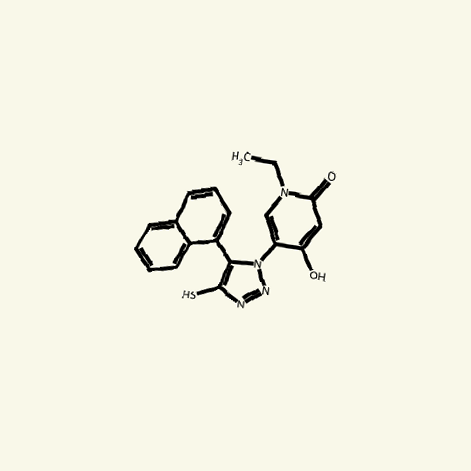 CCn1cc(-n2nnc(S)c2-c2cccc3ccccc23)c(O)cc1=O